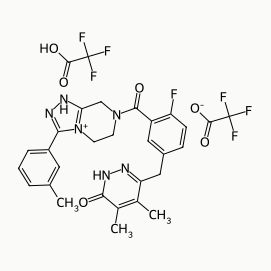 Cc1cccc(-c2n[nH]c3[n+]2CCN(C(=O)c2cc(Cc4n[nH]c(=O)c(C)c4C)ccc2F)C3)c1.O=C(O)C(F)(F)F.O=C([O-])C(F)(F)F